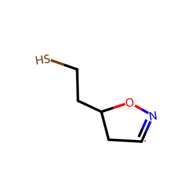 SCCC1C[C]=NO1